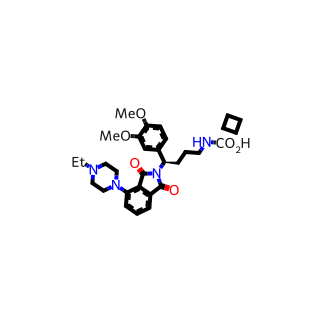 C1CCC1.CCN1CCN(c2cccc3c2C(=O)N([C@H](CCCNC(=O)O)c2ccc(OC)c(OC)c2)C3=O)CC1